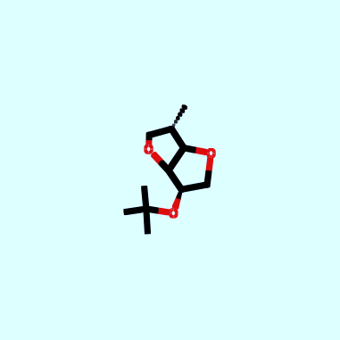 C[C@H]1COC2C1OC[C@H]2OC(C)(C)C